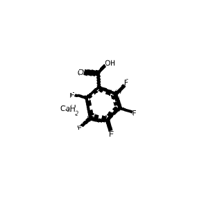 O=C(O)c1c(F)c(F)c(F)c(F)c1F.[CaH2]